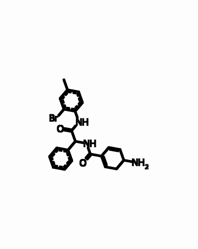 Cc1ccc(NC(=O)C(NC(=O)C2=CCC(N)C=C2)c2ccccc2)c(Br)c1